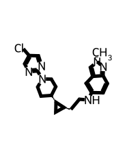 Cn1cc2cc(NCC[C@@H]3C[C@@H]3C3CCN(c4ncc(Cl)cn4)CC3)ccc2n1